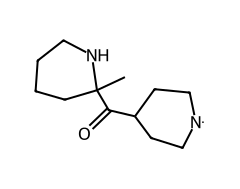 CC1(C(=O)C2CC[N]CC2)CCCCN1